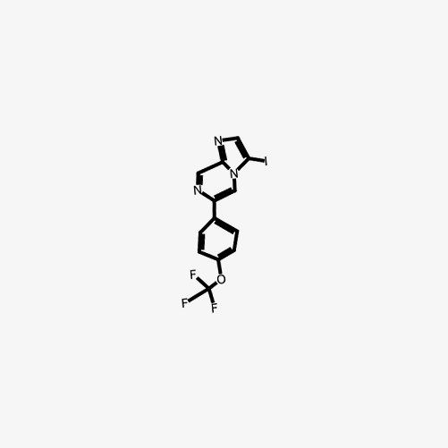 FC(F)(F)Oc1ccc(-c2cn3c(I)cnc3cn2)cc1